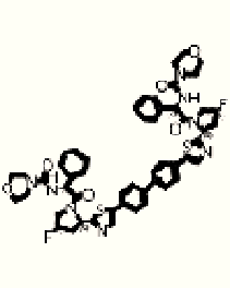 O=C(N[C@@H](C(=O)N1C[C@H](F)C[C@H]1c1ncc(-c2ccc(-c3ccc(-c4cnc([C@@H]5C[C@@H](F)CN5C(=O)[C@H](NC(=O)N5CCOCC5)c5ccccc5)s4)cc3)cc2)s1)c1ccccc1)N1CCOCC1